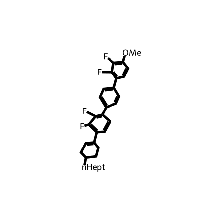 CCCCCCCC1CC=C(c2ccc(-c3ccc(-c4ccc(OC)c(F)c4F)cc3)c(F)c2F)CC1